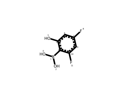 OB(O)c1c(O)cc(F)cc1F